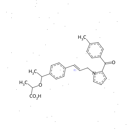 Cc1ccc(C(=O)c2cccn2C/C=C/c2ccc(C(C)OC(C)C(=O)O)cc2)cc1